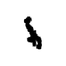 C=C(C(=O)OCCOC1CCC(C2OCC(COc3ccc4c(/C=N/N(CCCCCC)c5nc6ccccc6s5)c(OCc5ccc(OCCCOC6OC6(C)C)cc5)ccc4c3Cl)CO2)CC1)C(F)(F)F